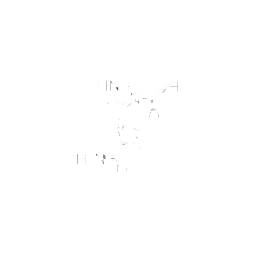 NC(=O)c1ccc(C2=CNCN2C(=O)O)s1